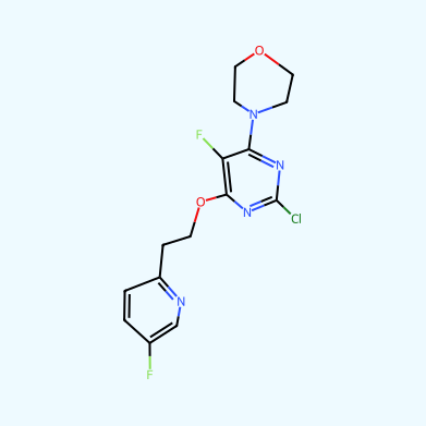 Fc1ccc(CCOc2nc(Cl)nc(N3CCOCC3)c2F)nc1